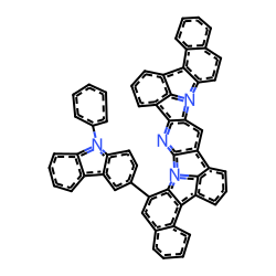 c1ccc(-n2c3ccccc3c3cc(-c4cc5ccccc5c5c6cccc7c8cc9c(nc8n(c45)c76)c4cccc5c6c7ccccc7ccc6n9c45)ccc32)cc1